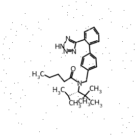 CCCCC(=O)N(Cc1ccc(-c2ccccc2-c2nn[nH]n2)cc1)[C@@H](C(C)C)C(C)(C)C